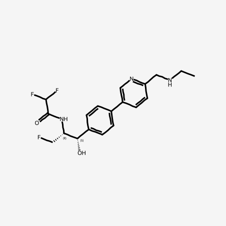 CCNCc1ccc(-c2ccc([C@H](O)[C@H](CF)NC(=O)C(F)F)cc2)cn1